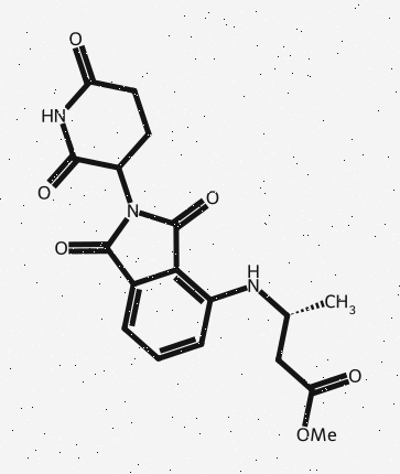 COC(=O)C[C@@H](C)Nc1cccc2c1C(=O)N(C1CCC(=O)NC1=O)C2=O